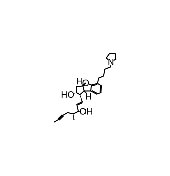 CC#CC[C@H](C)[C@H](O)C=C[C@@H]1[C@H]2c3cccc(CCCCN4CCCC4)c3O[C@H]2C[C@H]1O